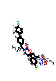 C[C@@H](c1ccc(-c2ccc(F)cc2F)cc1)N1CCC(CCCNS(C)(=O)=O)(c2ccc(F)cc2)OC1=O